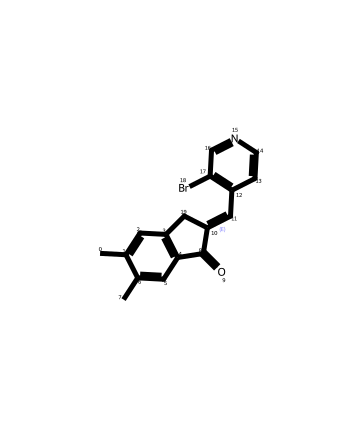 Cc1cc2c(cc1C)C(=O)/C(=C/c1ccncc1Br)C2